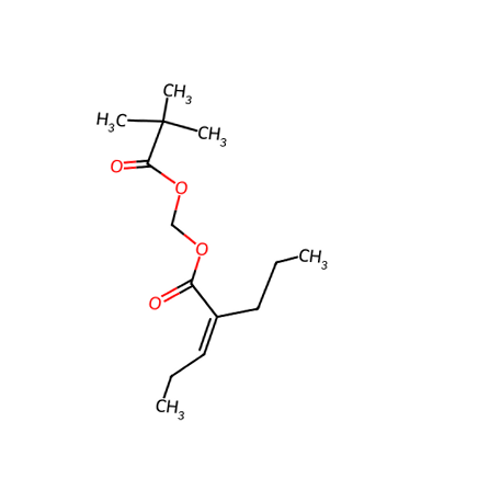 CCC=C(CCC)C(=O)OCOC(=O)C(C)(C)C